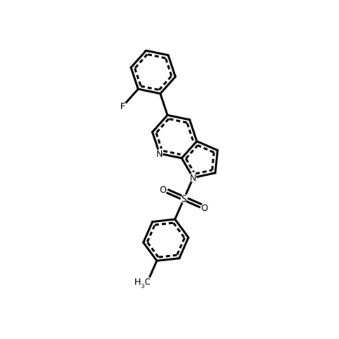 Cc1ccc(S(=O)(=O)n2ccc3cc(-c4ccccc4F)cnc32)cc1